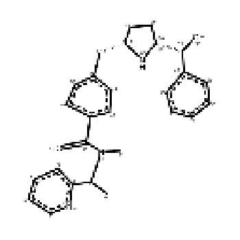 CC(c1ccccn1)N(C)C(=O)c1ccc(C[C@@H]2CC[C@H](C(O)c3ccccc3)N2)cc1